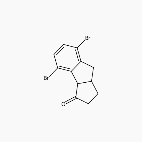 O=C1CCC2Cc3c(Br)ccc(Br)c3C12